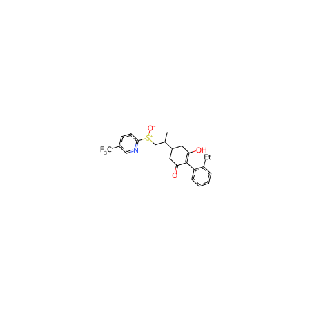 CCc1ccccc1C1=C(O)CC(C(C)C[S+]([O-])c2ccc(C(F)(F)F)cn2)CC1=O